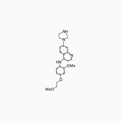 COCCOc1ccc(Nc2ccnc3cc(N4CCNCC4)ccc23)c(OC)c1